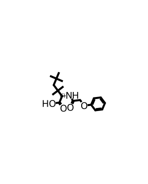 CC(C)(C)CC(C)(C)[C@H](NC(=O)COc1ccccc1)C(=O)O